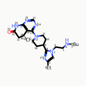 CCc1cn(CCNC(C)(C)C)c(C2CCN(c3ncnc4c3[C@H](C(F)(F)F)CC(=O)N4)CC2)n1